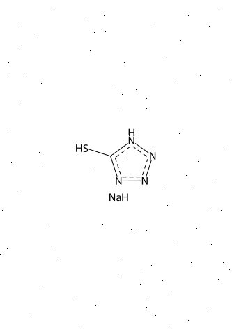 Sc1nnn[nH]1.[NaH]